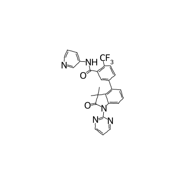 CC1(C)C(=O)N(c2ncccn2)c2cccc(-c3ccc(C(F)(F)F)c(C(=O)Nc4cccnc4)c3)c21